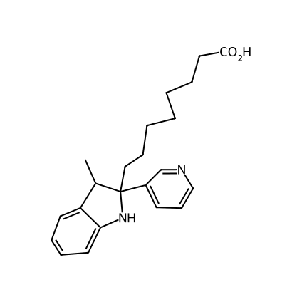 CC1c2ccccc2NC1(CCCCCCCC(=O)O)c1cccnc1